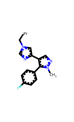 CC(C)Cn1cnc(-c2cnn(C)c2-c2ccc(F)cc2)c1